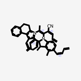 C=C/C=C\c1ccc2c(c1C)C(C)C(/C=C\C=C)N2C(=C(/C)n1c2c(c3c1CCc1ccccc1-3)C=CCC=C2)/C(C#N)=C\C=C